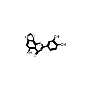 O=c1cc(-c2ccc(O)c(O)c2)oc2c3c(cc(O)c12)OCO3